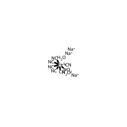 N#[C][Fe-3]([C]#N)([C]#N)([C]#N)([C]#N)([C]#N)[N+](=O)[O-].O.O.[Na+].[Na+].[Na+]